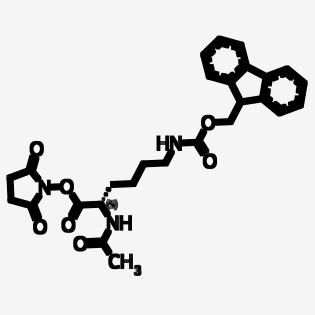 CC(=O)N[C@@H](CCCCNC(=O)OCC1c2ccccc2-c2ccccc21)C(=O)ON1C(=O)CCC1=O